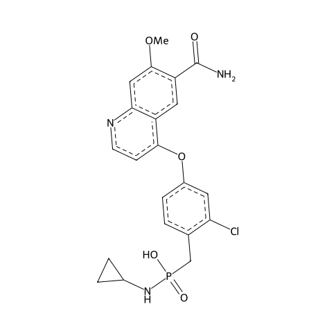 COc1cc2nccc(Oc3ccc(CP(=O)(O)NC4CC4)c(Cl)c3)c2cc1C(N)=O